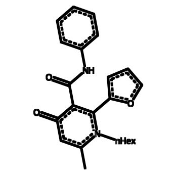 CCCCCCn1c(C)cc(=O)c(C(=O)Nc2ccccc2)c1-c1ccco1